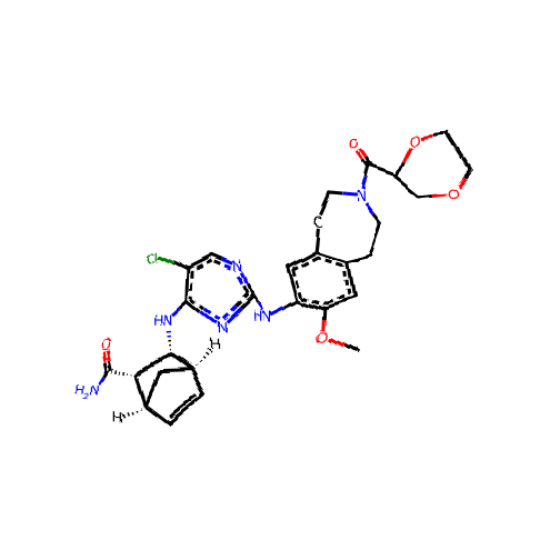 COc1cc2c(cc1Nc1ncc(Cl)c(N[C@H]3[C@@H](C(N)=O)[C@@H]4C=C[C@H]3C4)n1)CCN(C(=O)C1COCCO1)CC2